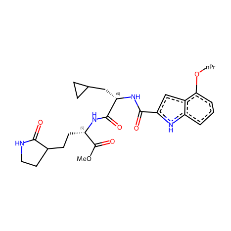 CCCOc1cccc2[nH]c(C(=O)N[C@@H](CC3CC3)C(=O)N[C@@H](CCC3CCNC3=O)C(=O)OC)cc12